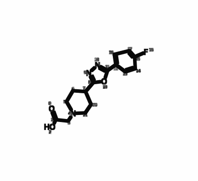 O=C(O)CN1CCC(c2nnc(-c3ccc(F)cc3)o2)CC1